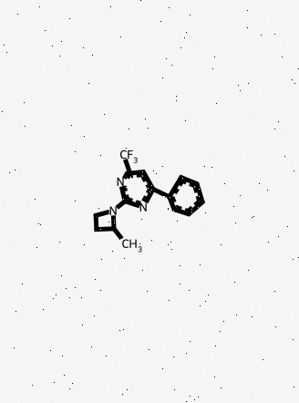 CC1CCN1c1nc(-c2ccccc2)cc(C(F)(F)F)n1